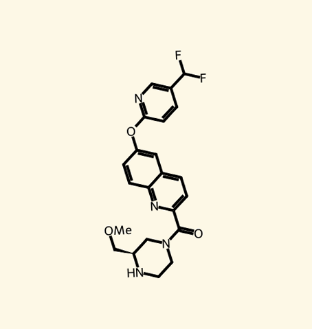 COC[C@H]1CN(C(=O)c2ccc3cc(Oc4ccc(C(F)F)cn4)ccc3n2)CCN1